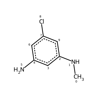 CNc1cc(N)cc(Cl)c1